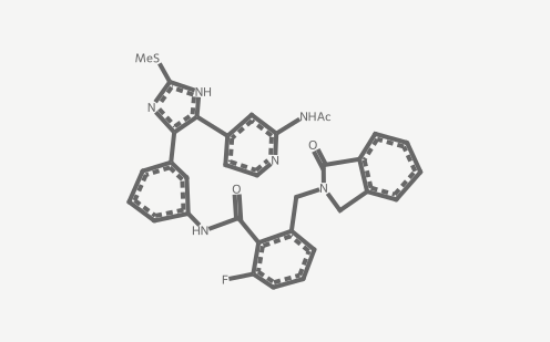 CSc1nc(-c2cccc(NC(=O)c3c(F)cccc3CN3Cc4ccccc4C3=O)c2)c(-c2ccnc(NC(C)=O)c2)[nH]1